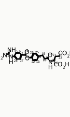 N=C(N)Nc1ccc(C(=O)Oc2ccc(CCC(=O)N[C@H](CCC(=O)O)C(=O)O)cc2)cc1